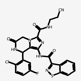 N#CCCNC(=O)c1nc(NC(=O)c2nsc3ccccc23)c2n1CC(=O)NC2c1cc(F)ccc1Cl